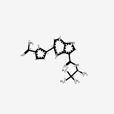 C[C@H](NC(=O)c1c[nH]c2ncc(-c3ccc(C(N)=O)s3)nc12)C(C)(C)C